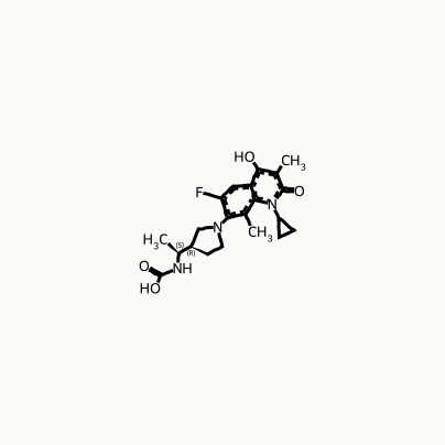 Cc1c(O)c2cc(F)c(N3CC[C@@H]([C@H](C)NC(=O)O)C3)c(C)c2n(C2CC2)c1=O